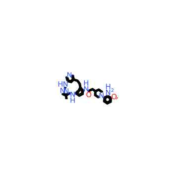 COc1cccc(N2CCC(CC(=O)Nc3ccc4cc3CCc3cncc(c3)Nc3ncc(C)c(n3)N4)CC2)c1N